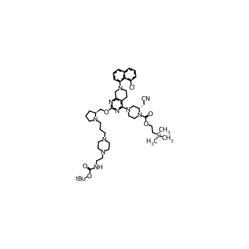 CC(C)(C)OC(=O)NCCN1CCN(CCCN2CCC[C@H]2COc2nc3c(c(N4CCN(C(=O)OCC[Si](C)(C)C)[C@@H](CC#N)C4)n2)CCN(c2cccc4cccc(Cl)c24)C3)CC1